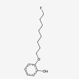 Oc1ccccc1OCCCCCCCCF